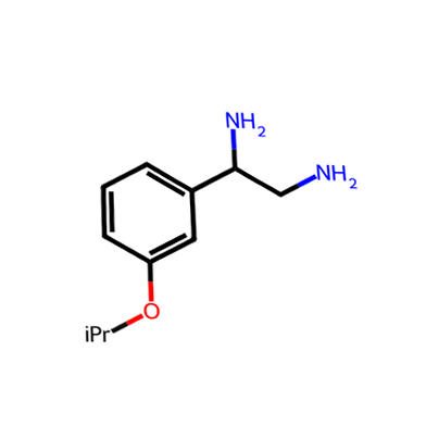 CC(C)Oc1cccc(C(N)CN)c1